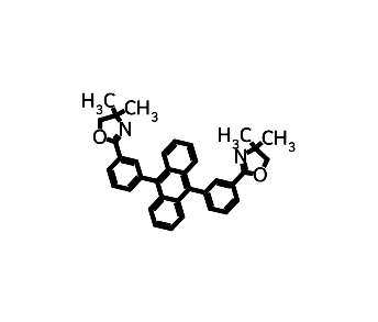 CC1(C)COC(c2cccc(-c3c4ccccc4c(-c4cccc(C5=NC(C)(C)CO5)c4)c4ccccc34)c2)=N1